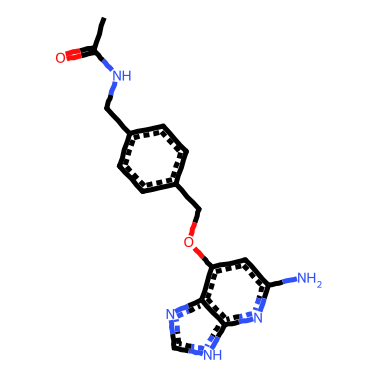 CC(=O)NCc1ccc(COc2cc(N)nc3[nH]cnc23)cc1